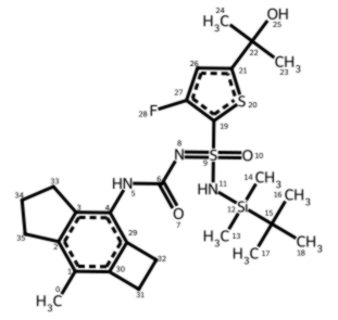 Cc1c2c(c(NC(=O)N=S(=O)(N[Si](C)(C)C(C)(C)C)c3sc(C(C)(C)O)cc3F)c3c1CC3)CCC2